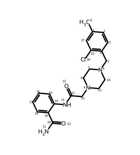 Cc1ccc(CN2CCN(CC(=O)Nc3ccccc3C(N)=O)CC2)c(Cl)c1